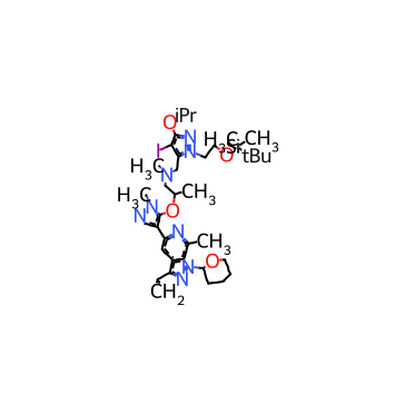 C=Cc1nn(C2CCCCO2)c2c(C)nc(-c3cnn(C)c3OC(C)CN(C)Cc3c(I)c(OC(C)C)nn3CCO[Si](C)(C)C(C)(C)C)cc12